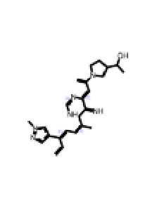 C=C/C(=C\C=C(\C)CC(=N)C(=C/C(=C)N1CCC(C(C)O)C1)/N=C\N)c1cnn(C)c1